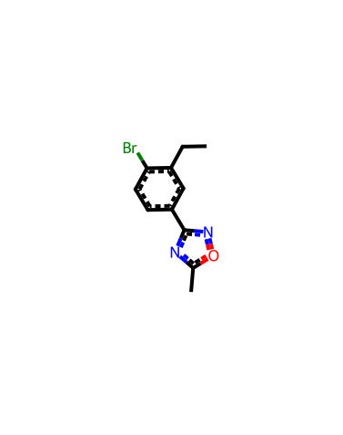 CCc1cc(-c2noc(C)n2)ccc1Br